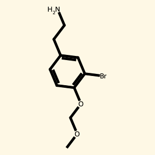 COCOc1ccc(CCN)cc1Br